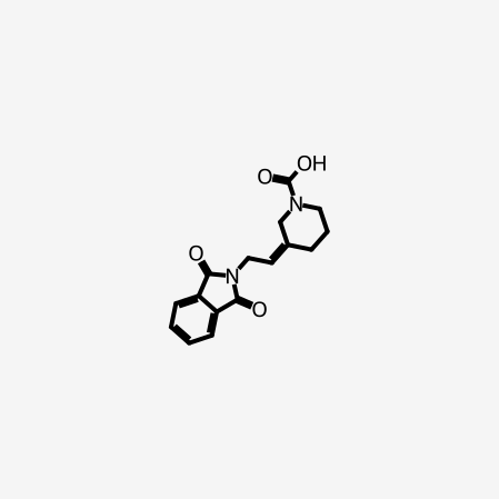 O=C(O)N1CCCC(=CCN2C(=O)c3ccccc3C2=O)C1